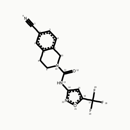 N#Cc1ccc2c(c1)CCN(C(=O)Nc1cc(C(F)(F)F)on1)C2